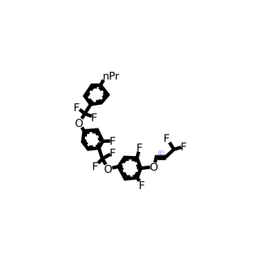 CCCc1ccc(C(F)(F)Oc2ccc(C(F)(F)Oc3cc(F)c(O/C=C/C(F)F)c(F)c3)c(F)c2)cc1